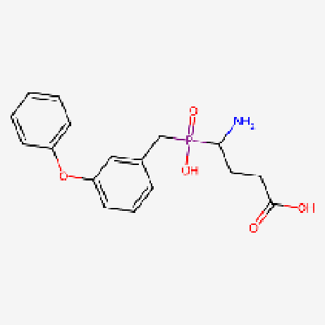 NC(CCC(=O)O)P(=O)(O)Cc1cccc(Oc2ccccc2)c1